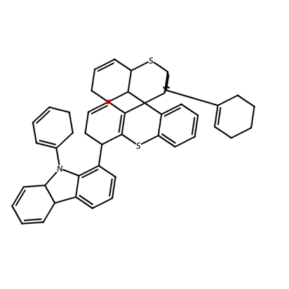 C1=CCCC(N2c3c(C4CC=CC5=C4Sc4ccccc4C54C5C=C(C6=CCCCC6)CCC5SC5C=CCCC54)cccc3C3C=CC=CC32)=C1